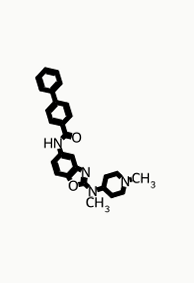 CN1CCC(N(C)c2nc3cc(NC(=O)c4ccc(-c5ccccc5)cc4)ccc3o2)CC1